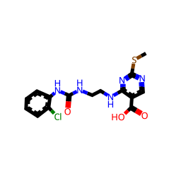 CSc1ncc(C(=O)O)c(NCCNC(=O)Nc2ccccc2Cl)n1